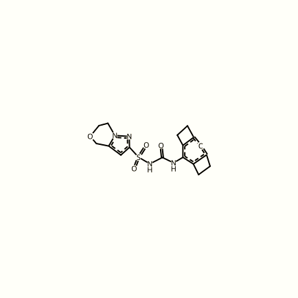 O=C(Nc1c2c(cc3c1CC3)CC2)NS(=O)(=O)c1cc2n(n1)CCOC2